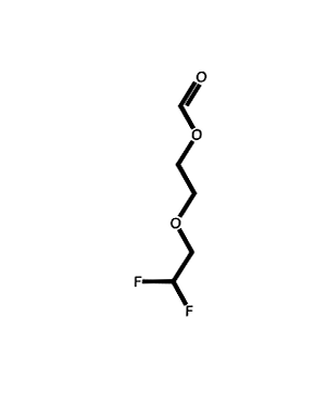 O=COCCOCC(F)F